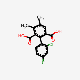 Cc1cc(C(=O)O)c(-c2ccc(Cl)cc2Cl)c(C(=O)O)c1C